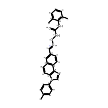 Cc1ccc(-n2cnc3c4ccc(/C=N/SNC(=O)Nc5c(C)cccc5C)cc4ccc32)cc1